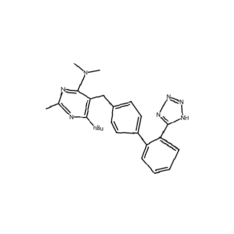 CCCCc1nc(C)nc(N(C)C)c1Cc1ccc(-c2ccccc2-c2nnn[nH]2)cc1